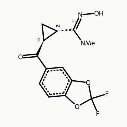 CN/C(=N\O)[C@H]1C[C@@H]1C(=O)c1ccc2c(c1)OC(F)(F)O2